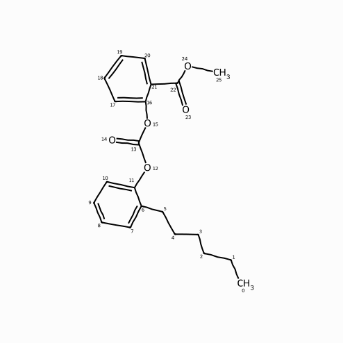 CCCCCCc1ccccc1OC(=O)Oc1ccccc1C(=O)OC